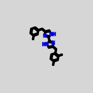 Cc1cccc(Cc2c[nH]c(-c3nc(Cc4ccc(C)cc4C)c[nH]3)n2)c1